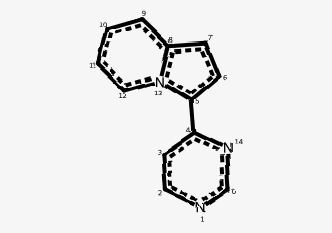 [c]1nccc(-c2ccc3ccccn23)n1